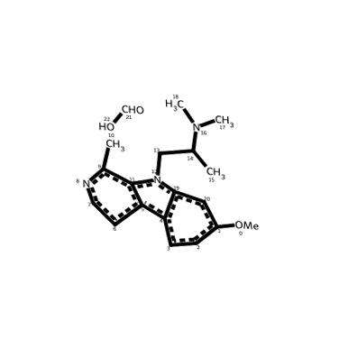 COc1ccc2c3ccnc(C)c3n(CC(C)N(C)C)c2c1.O=CO